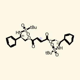 CC(C)(C)S(=O)(=O)N[C@@H](COC(=O)/C=C/C(=O)OC[C@@H](NS(=O)(=O)C(C)(C)C)c1ccccc1)c1ccccc1